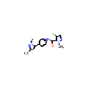 CCn1nc(C(F)(F)F)cc1-c1ccc(NC(=O)c2c(Cl)cnn2C)cc1